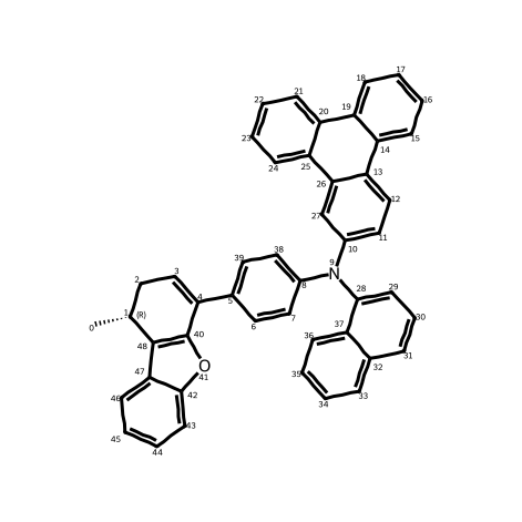 C[C@@H]1CC=C(c2ccc(N(c3ccc4c5ccccc5c5ccccc5c4c3)c3cccc4ccccc34)cc2)c2oc3ccccc3c21